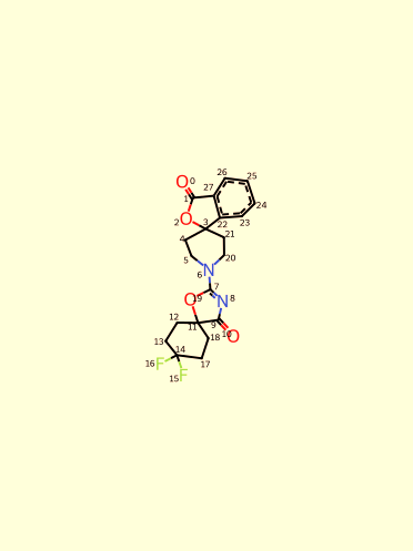 O=C1OC2(CCN(C3=NC(=O)C4(CCC(F)(F)CC4)O3)CC2)c2ccccc21